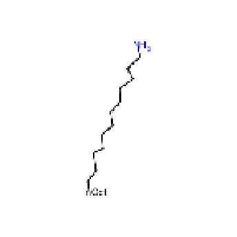 [CH2]CCCCCCCCCCCCCCCCCCCN